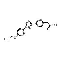 CCOc1ccc(-n2cnc(-c3ccc(CC(=O)O)cc3)n2)cc1